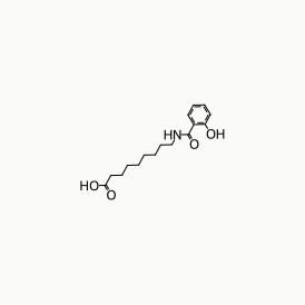 O=C(O)CCCCCCCCNC(=O)c1ccccc1O